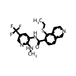 CCSc1c(C(=O)Nc2cc(C(F)(F)F)cnc2NC)ccc2cnccc12